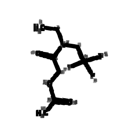 CCN(CC(F)(F)F)C(=O)COC(C)=O